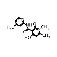 Cc1ccnc(NC(=O)c2c(O)cc(C)n(C)c2=O)c1